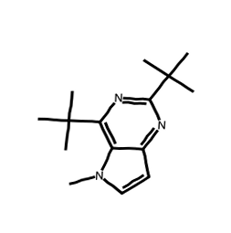 Cn1ccc2nc(C(C)(C)C)nc(C(C)(C)C)c21